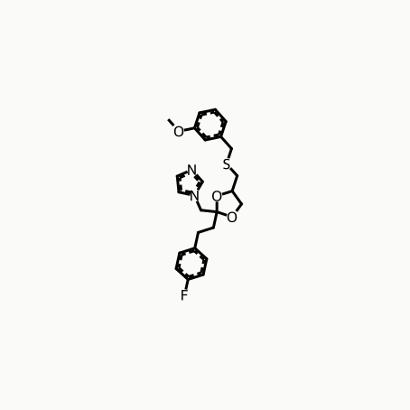 COc1cccc(CSCC2COC(CCc3ccc(F)cc3)(Cn3ccnc3)O2)c1